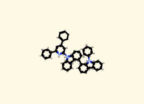 C1=CCCC(c2cc(-c3ccccc3)nc(-n3c4ccccc4c4c(-c5cccc6c7ccccc7n(-c7ccccc7)c56)cccc43)c2)=C1